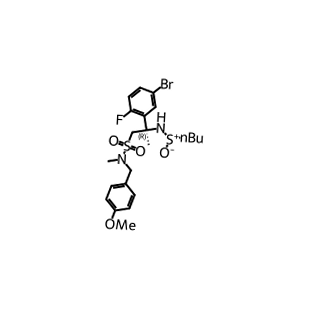 CCCC[S+]([O-])N[C@@](C)(CS(=O)(=O)N(C)Cc1ccc(OC)cc1)c1cc(Br)ccc1F